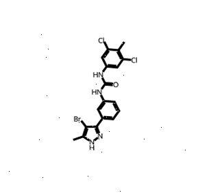 Cc1[nH]nc(-c2cccc(NC(=O)Nc3cc(Cl)c(C)c(Cl)c3)c2)c1Br